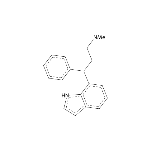 CNCCC(c1ccccc1)c1cccc2cc[nH]c12